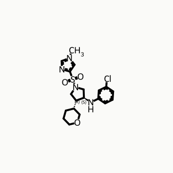 Cn1cnc(S(=O)(=O)N2C[C@@H](Nc3cccc(Cl)c3)[C@H](C3CCCOC3)C2)c1